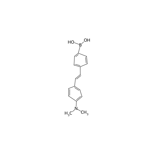 CN(C)c1ccc(C=Cc2ccc(B(O)O)cc2)cc1